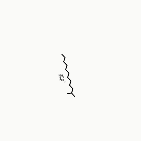 CCCCCCCCCCC(C)C.NN